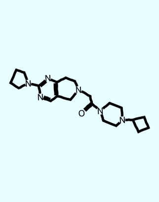 O=C(CN1CCc2nc(N3CCCC3)ncc2C1)N1CCN(C2CCC2)CC1